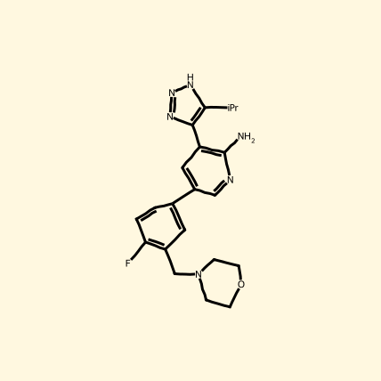 CC(C)c1[nH]nnc1-c1cc(-c2ccc(F)c(CN3CCOCC3)c2)cnc1N